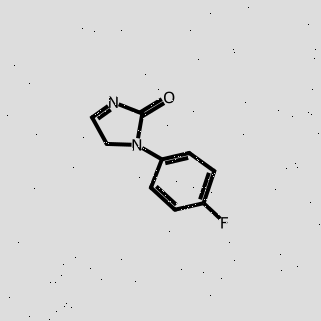 O=C1N=CCN1c1ccc(F)cc1